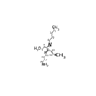 CCCCC/N=C(CCC)/C(CCC)=N/CCCCN